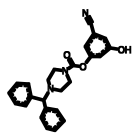 N#Cc1cc(O)cc(OC(=O)N2CCN(C(c3ccccc3)c3ccccc3)CC2)c1